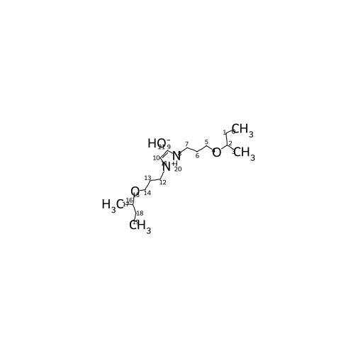 CCC(C)OCCCn1cc[n+](CCCOC(C)CC)c1.[OH-]